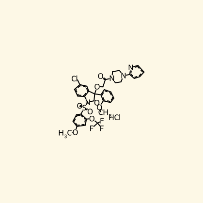 COc1ccc(S(=O)(=O)N2C(=O)C(OCC(=O)N3CCN(c4ccccn4)CC3)(c3ccccc3OC)c3cc(Cl)ccc32)c(OC(F)(F)F)c1.Cl